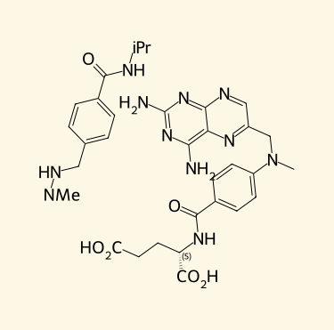 CN(Cc1cnc2nc(N)nc(N)c2n1)c1ccc(C(=O)N[C@@H](CCC(=O)O)C(=O)O)cc1.CNNCc1ccc(C(=O)NC(C)C)cc1